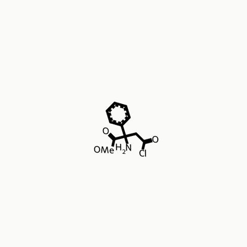 COC(=O)C(N)(CC(=O)Cl)c1ccccc1